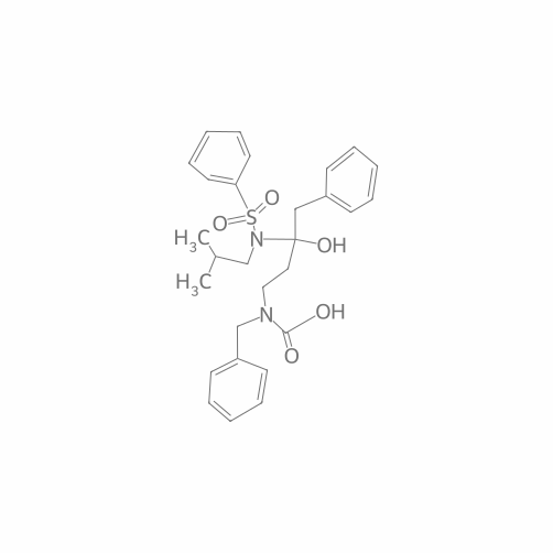 CC(C)CN(C(O)(CCN(Cc1ccccc1)C(=O)O)Cc1ccccc1)S(=O)(=O)c1ccccc1